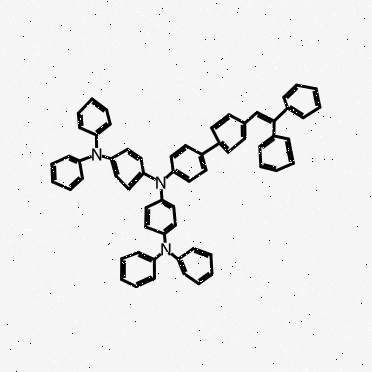 C(=C(c1ccccc1)c1ccccc1)c1ccc(-c2ccc(N(c3ccc(N(c4ccccc4)c4ccccc4)cc3)c3ccc(N(c4ccccc4)c4ccccc4)cc3)cc2)cc1